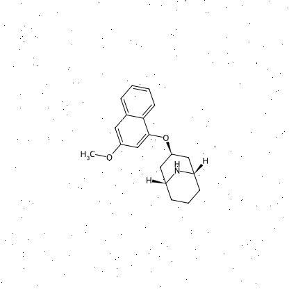 COc1cc(O[C@@H]2C[C@H]3CCC[C@@H](C2)N3)c2ccccc2c1